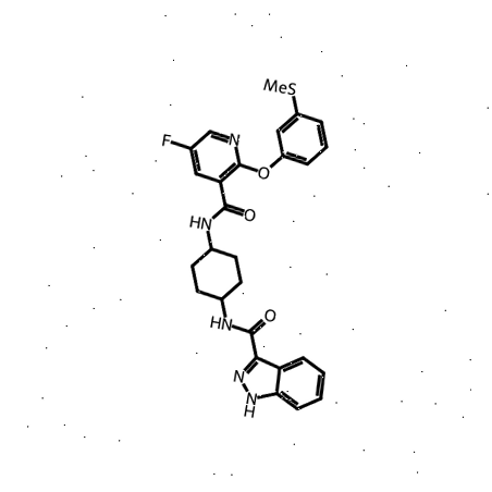 CSc1cccc(Oc2ncc(F)cc2C(=O)NC2CCC(NC(=O)c3n[nH]c4ccccc34)CC2)c1